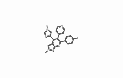 Cn1cnc(-c2c(-c3ccncc3)c(-c3ccc(F)cc3)nc3nn(C)cc23)c1